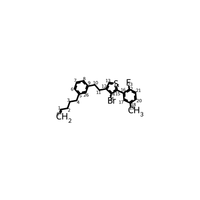 C=CCCCc1cccc(CCc2csc(-c3cc(C)ccc3F)c2Br)c1